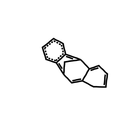 C1=CCC2=CC3=c4ccccc4=C(C3)C2=C1